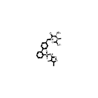 CCCC(=O)N(C)[C@H](C(=O)NCc1ccc(-c2ccccc2S(=O)(=O)Nc2noc(C)c2C)cc1)C(C)(C)C